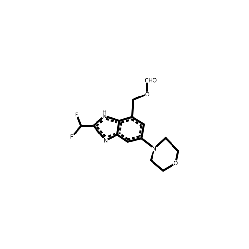 O=COCc1cc(N2CCOCC2)cc2nc(C(F)F)[nH]c12